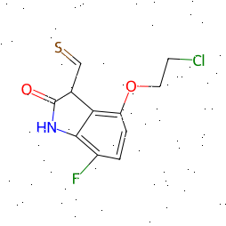 O=C1Nc2c(F)ccc(OCCCl)c2C1C=S